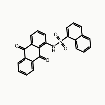 O=C1c2ccccc2C(=O)c2c(NS(=O)(=O)c3cccc4ccccc34)cccc21